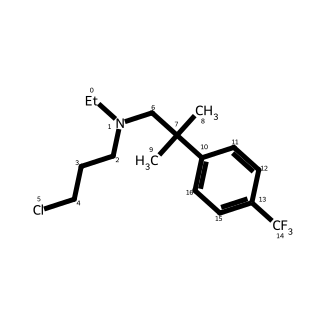 CCN(CCCCl)CC(C)(C)c1ccc(C(F)(F)F)cc1